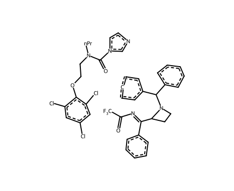 CCCN(CCOc1c(Cl)cc(Cl)cc1Cl)C(=O)n1ccnc1.O=C(/N=C(\c1ccccc1)C1CCN1C(c1ccccc1)c1ccccc1)C(F)(F)F